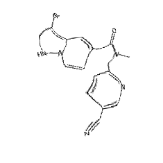 CN(C(=O)C1=CC2=C(Br)CNN2C=C1)c1ccc(C#N)cn1